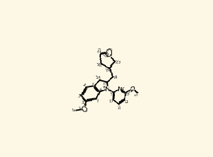 COc1ccc2c(c1)N(c1cccc(OC)n1)C(CC1CCOC1)C2